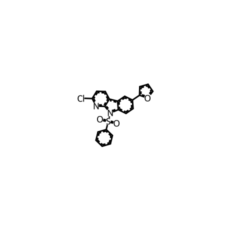 O=S(=O)(c1ccccc1)n1c2ccc(-c3ccco3)cc2c2ccc(Cl)nc21